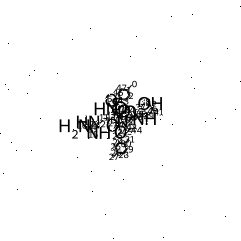 Cc1ccc(S(=O)(=O)N[C@@H](CCCNC(=N)N)C(=O)N(C(=O)OCc2cc(C)ccc2C)[C@H](C(=O)N[C@H](CO)CC(C)C)C(C)C)cc1